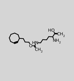 C=C(NCCCCC(N)C(=C)O)OCCCC1C#CCCCCC1